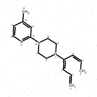 C=C/C=C(\C=C/C)N1CCN(c2cc(C)ccn2)CC1